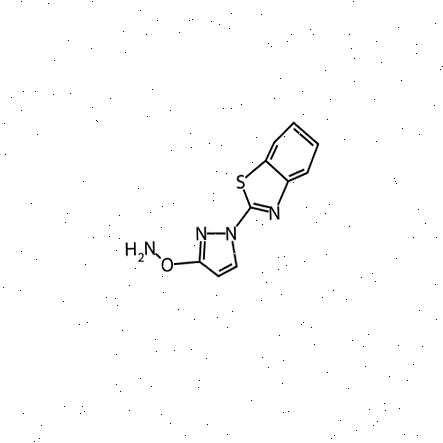 NOc1ccn(-c2nc3ccccc3s2)n1